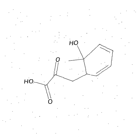 CC1(O)C=CC=CC1CC(=O)C(=O)O